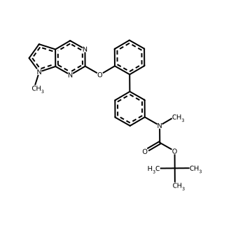 CN(C(=O)OC(C)(C)C)c1cccc(-c2ccccc2Oc2ncc3ccn(C)c3n2)c1